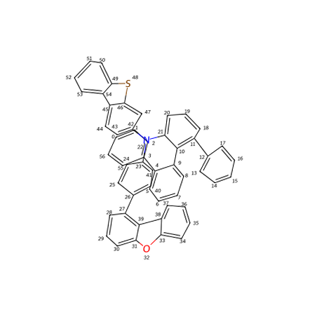 c1ccc(-c2ccccc2-c2c(-c3ccccc3)cccc2N(c2ccc(-c3cccc4oc5ccccc5c34)cc2)c2ccc3c(c2)sc2ccccc23)cc1